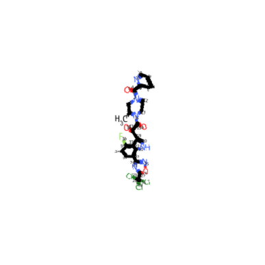 CC1CN(C(=O)c2ccccn2)CCN1C(=O)C(=O)c1c[nH]c2c(-c3noc(C(Cl)(Cl)Cl)n3)ccc(F)c12